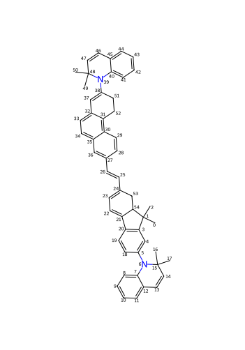 CC1(C)c2cc(N3c4ccccc4C=CC3(C)C)ccc2C2=CC=C(/C=C/c3ccc4c5c(ccc4c3)C=C(N3c4ccccc4C=CC3(C)C)CC5)CC21